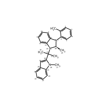 Cc1ccccc1N1c2ccccc2N(C(C)(C)c2cc3ccccc3n2C)[C@@H]1C